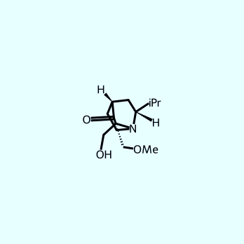 COC[C@]1(CO)C(=O)[C@@H]2CCN1[C@@H](C(C)C)C2